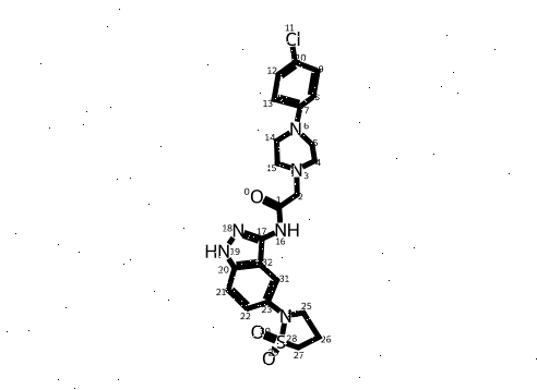 O=C(CN1CCN(c2ccc(Cl)cc2)CC1)Nc1n[nH]c2ccc(N3CCCS3(=O)=O)cc12